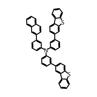 c1cc(-c2ccc3ccccc3c2)cc(N(c2cccc(-c3ccc4c(c3)sc3ccccc34)c2)c2cccc(-c3ccc4sc5ccccc5c4c3)c2)c1